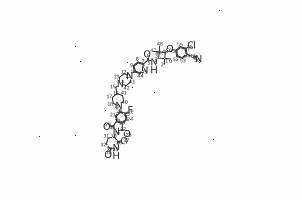 CC1(C)[C@H](NC(=O)c2ccc(N3CCN(CC4CCN(c5cc6c(cc5F)C(=O)N(C5CCC(=O)NC5=O)C6=O)CC4)CC3)cn2)C(C)(C)[C@H]1Oc1ccc(C#N)c(Cl)c1